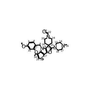 COc1ccc(Cn2c(C3(C(=O)N4CCN(C)CC4)CCN(C=O)CC3)cc3sccc32)c(OC)c1